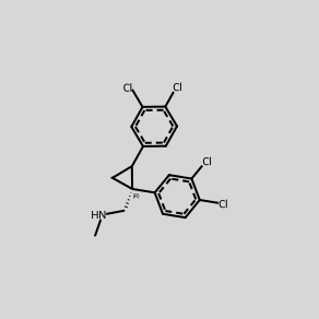 CNC[C@]1(c2ccc(Cl)c(Cl)c2)CC1c1ccc(Cl)c(Cl)c1